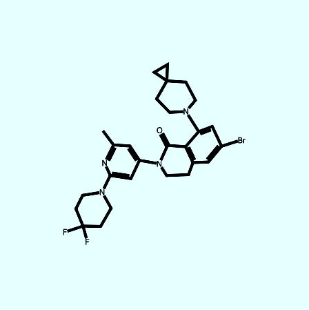 Cc1cc(N2CCc3cc(Br)cc(N4CCC5(CC4)CC5)c3C2=O)cc(N2CCC(F)(F)CC2)n1